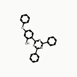 Oc1cc(Oc2ccccc2)ccc1-c1nc(-c2ccccc2)nc(-c2ccccc2)n1